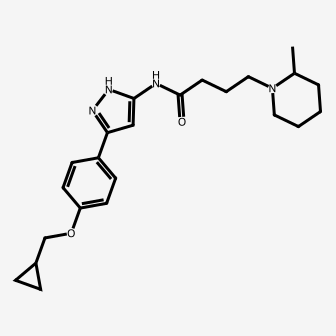 CC1CCCCN1CCCC(=O)Nc1cc(-c2ccc(OCC3CC3)cc2)n[nH]1